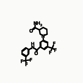 NC(=O)C1CCCN(c2cc(C(=O)Nc3cccc(C(F)(F)F)c3)cc(C(F)(F)F)c2)C1